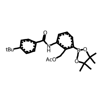 CC(=O)OCc1c(NC(=O)c2ccc(C(C)(C)C)cc2)cccc1B1OC(C)(C)C(C)(C)O1